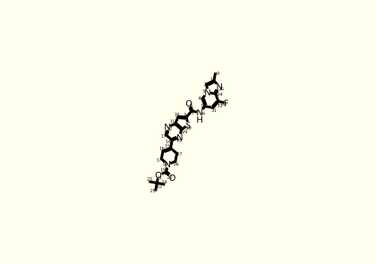 Cc1cn2cc(NC(=O)c3cc4ncc(C5=CCN(C(=O)OC(C)(C)C)CC5)nc4s3)cc(F)c2n1